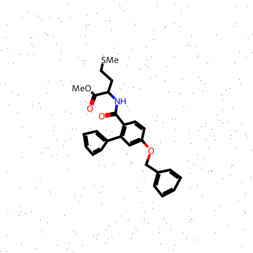 COC(=O)C(CCSC)NC(=O)c1ccc(OCc2ccccc2)cc1-c1ccccc1